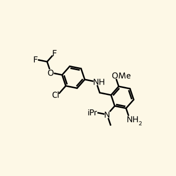 COc1ccc(N)c(N(C)C(C)C)c1CNc1ccc(OC(F)F)c(Cl)c1